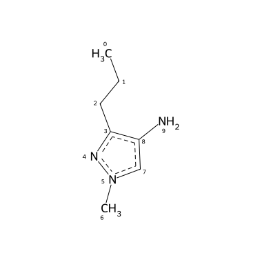 CCCc1nn(C)cc1N